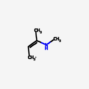 [CH2]C=C(C)NC